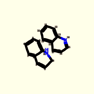 C1=Cc2ccccc2NC1.c1ccc2ncccc2c1